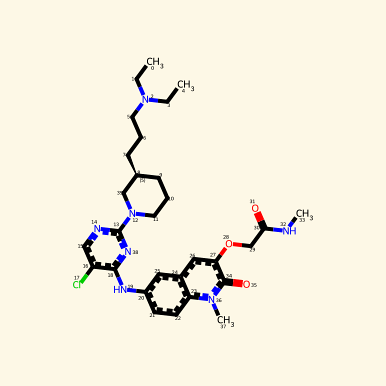 CCN(CC)CCC[C@H]1CCCN(c2ncc(Cl)c(Nc3ccc4c(c3)cc(OCC(=O)NC)c(=O)n4C)n2)C1